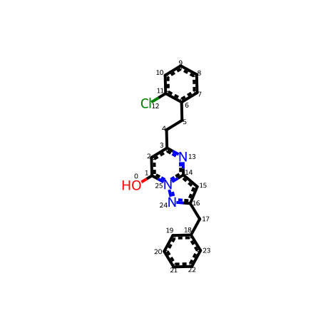 Oc1cc(CCc2ccccc2Cl)nc2cc(Cc3ccccc3)nn12